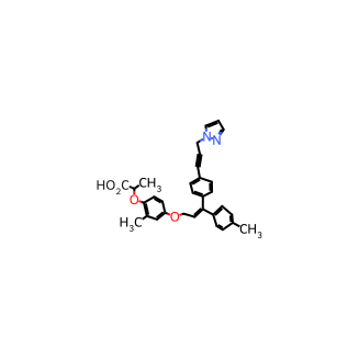 Cc1ccc(/C(=C/COc2ccc(OC(C)C(=O)O)c(C)c2)c2ccc(C#CCn3cccn3)cc2)cc1